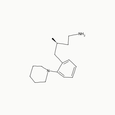 C[C@@H](CCN)Cc1ccccc1N1CCCCC1